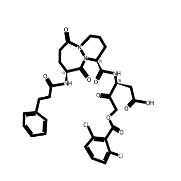 O=C(O)C[C@H](NC(=O)[C@@H]1CCCN2C(=O)CC[C@H](NC(=O)CCc3ccccc3)C(=O)N12)C(=O)COC(=O)c1c(Cl)cccc1Cl